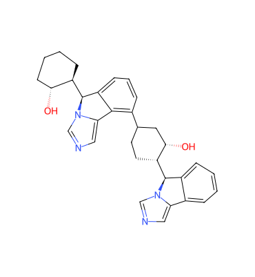 O[C@@H]1CCCC[C@H]1[C@H]1c2cccc(C3CC[C@@H]([C@H]4c5ccccc5-c5cncn54)[C@@H](O)C3)c2-c2cncn21